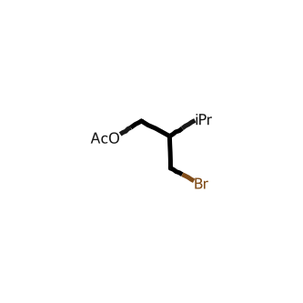 CC(=O)OCC(CBr)C(C)C